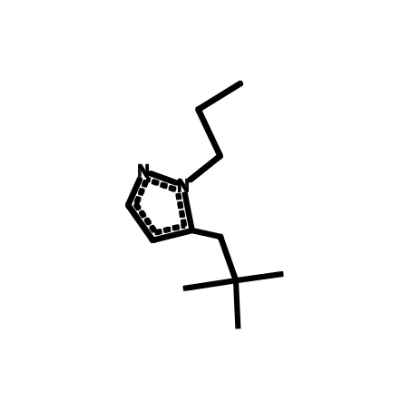 CCCn1nccc1CC(C)(C)C